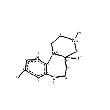 Cc1cnc2c(c1)OCC[C@H]1CN(C)CCN21